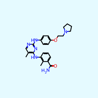 Cc1cnc(Nc2ccc(OCCN3CCCC3)cc2)nc1Nc1cccc(C(N)=O)c1C